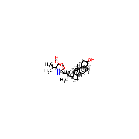 CC(C)[C@H](NC(=O)CC[C@@H](C)[C@H]1CC[C@H]2[C@@H]3CC[C@@H]4C[C@H](O)CC[C@]4(C)[C@H]3CC[C@]12C)C(=O)O